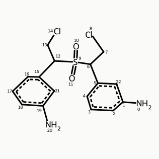 Nc1cccc(C(CCl)S(=O)(=O)C(CCl)c2cccc(N)c2)c1